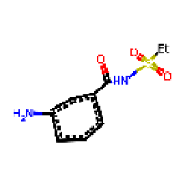 CCS(=O)(=O)NC(=O)c1cccc(N)c1